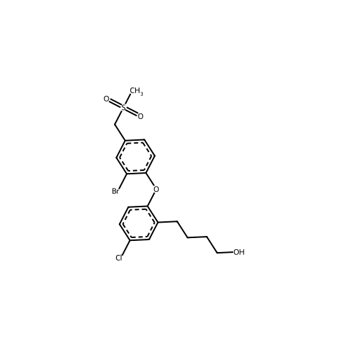 CS(=O)(=O)Cc1ccc(Oc2ccc(Cl)cc2CCCCO)c(Br)c1